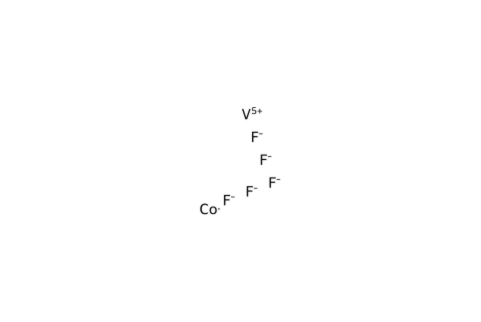 [Co].[F-].[F-].[F-].[F-].[F-].[V+5]